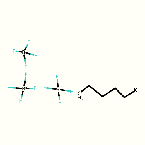 CCCC[CH2][K].F[B-](F)(F)F.F[B-](F)(F)F.F[B-](F)(F)F